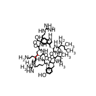 CC[C@H](C)[C@H](N)C(=O)N[C@@H](Cc1c[nH]c2ccccc12)C(=O)N[C@H](C(=O)N[C@@H](Cc1ccc(O)cc1)C(=O)N[C@@H](CCCNC(=N)N)C(=O)N[C@@H](CCCCN)C(=O)N[C@@H](CCCCN)C(=O)N[C@@H](CCCNC(=N)N)C(=O)O)C(C)C